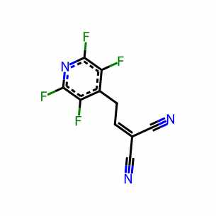 N#CC(C#N)=CCc1c(F)c(F)nc(F)c1F